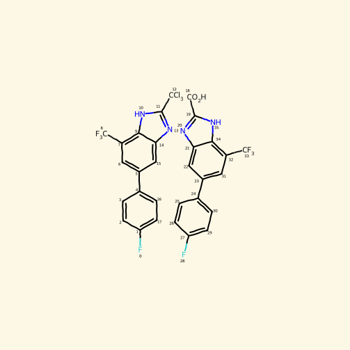 Fc1ccc(-c2cc(C(F)(F)F)c3[nH]c(C(Cl)(Cl)Cl)nc3c2)cc1.O=C(O)c1nc2cc(-c3ccc(F)cc3)cc(C(F)(F)F)c2[nH]1